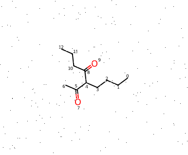 CCCCC(C(C)=O)C(=O)CCC